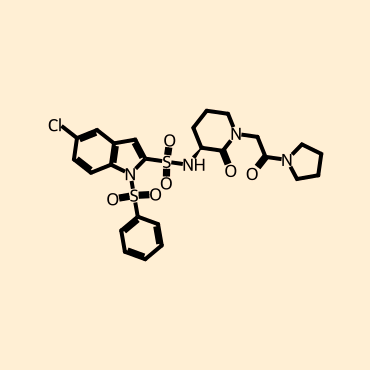 O=C(CN1CCC[C@H](NS(=O)(=O)c2cc3cc(Cl)ccc3n2S(=O)(=O)c2ccccc2)C1=O)N1CCCC1